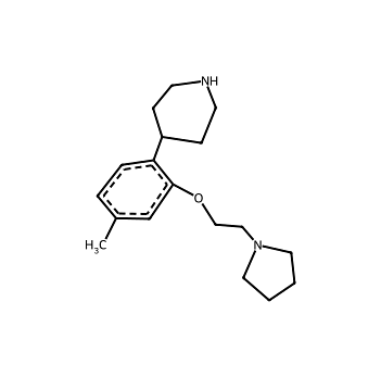 Cc1ccc(C2CCNCC2)c(OCCN2CCCC2)c1